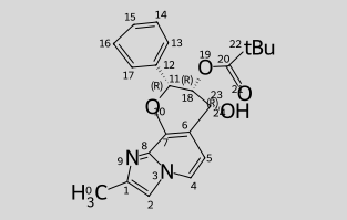 Cc1cn2ccc3c(c2n1)O[C@H](c1ccccc1)[C@H](OC(=O)C(C)(C)C)[C@@H]3O